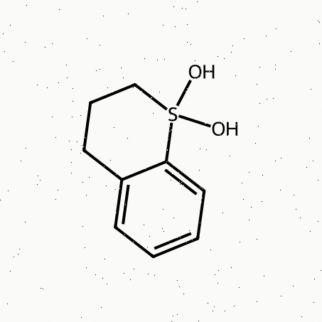 OS1(O)CCCc2ccccc21